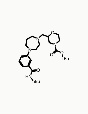 CCCCNC(=O)c1cccc(N2CCCN(CC3CN(C(=O)OC(C)(C)C)CCO3)CC2)c1